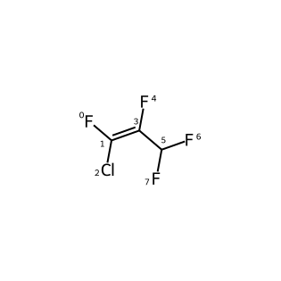 FC(Cl)=C(F)C(F)F